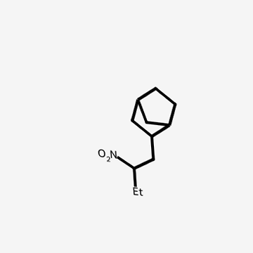 CCC(CC1CC2CCC1C2)[N+](=O)[O-]